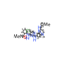 CNC(=O)c1ccccc1Nc1nc(Nc2ccc3c(c2)NC(CCOC)CCN3C)ncc1Cl